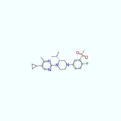 Cc1nc(N2CCN(c3ccc(F)c(S(C)(=O)=O)c3)C[C@H]2C(C)C)ncc1C1CC1